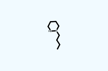 CCCCN1BCCCC1